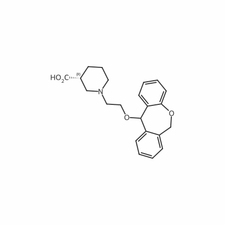 O=C(O)[C@@H]1CCCN(CCOC2c3ccccc3COc3ccccc32)C1